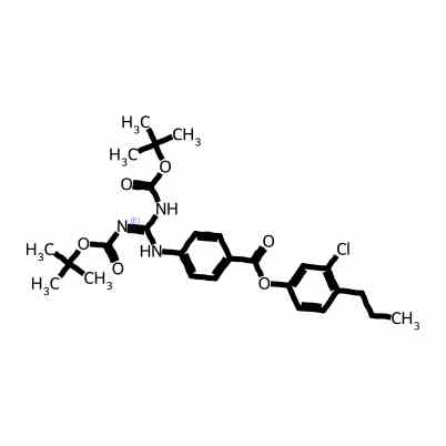 CCCc1ccc(OC(=O)c2ccc(N/C(=N\C(=O)OC(C)(C)C)NC(=O)OC(C)(C)C)cc2)cc1Cl